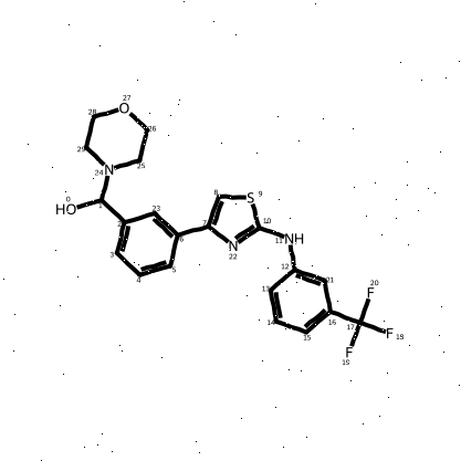 OC(c1cccc(-c2csc(Nc3cccc(C(F)(F)F)c3)n2)c1)N1CCOCC1